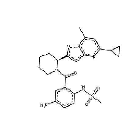 Cc1cc(C2CC2)nc2cc([C@@H]3CCCCN3C(=O)c3cc(N)ccc3NS(C)(=O)=O)nn12